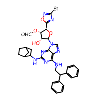 CCc1noc([C@H]2O[C@@H](n3cnc4c(NCC(c5ccccc5)c5ccccc5)nc(NC5CC6CCC5C6)nc43)[C@H](O)[C@@H]2OC=O)n1